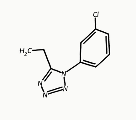 [CH2]Cc1nnnn1-c1cccc(Cl)c1